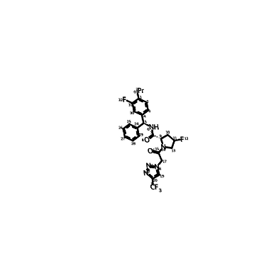 CC(C)c1ccc([C@@H](NC(=O)[C@@H]2C[C@@H](F)CN2C(=O)Cn2cc(C(F)(F)F)nn2)c2ccccc2)cc1F